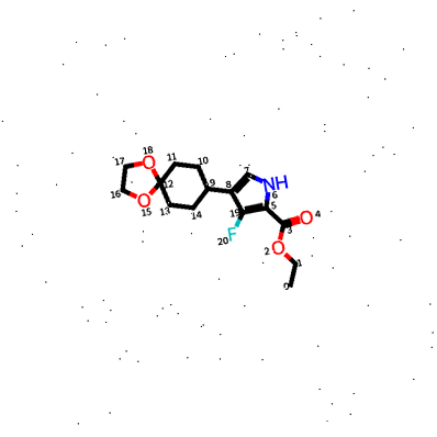 CCOC(=O)c1[nH]cc(C2CCC3(CC2)OCCO3)c1F